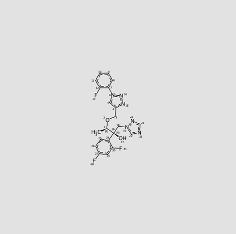 C[C@@H](OCc1cn(-c2ccccc2F)nn1)[C@](O)(Cn1cncn1)c1ccc(F)cc1F